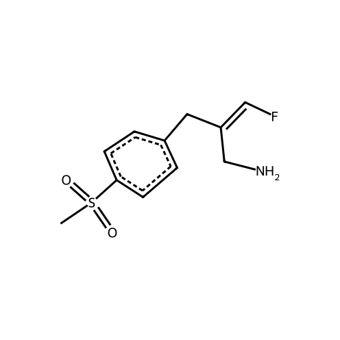 CS(=O)(=O)c1ccc(C/C(=C/F)CN)cc1